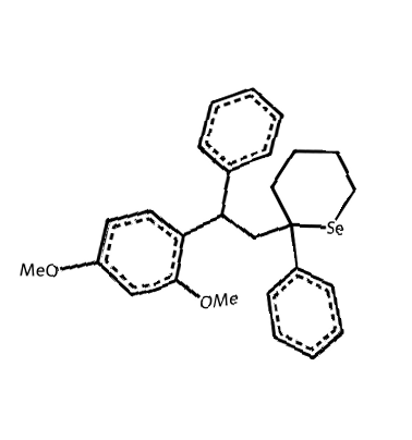 COc1ccc(C(CC2(c3ccccc3)CCCC[Se]2)c2ccccc2)c(OC)c1